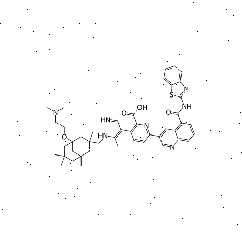 C/C(NCC1(C)CC2(C)CC(C)(C)CC(OCCN(C)C)(C1)C2)=C(/C=N)c1ccc(-c2cnc3cccc(C(=O)Nc4nc5ccccc5s4)c3c2)nc1C(=O)O